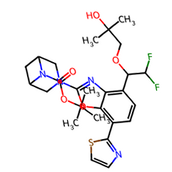 CC(C)(O)COC(c1ccc(-c2nccs2)c2oc(N3CC4CC(C3)N4C(=O)OC(C)(C)C)nc12)C(F)F